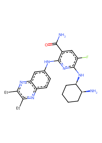 CCc1nc2ccc(Nc3nc(N[C@@H]4CCCC[C@@H]4N)c(F)cc3C(N)=O)cc2nc1CC